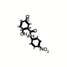 O=C(Nc1ccc([N+](=O)[O-])cc1)c1cc(Cl)ccc1O